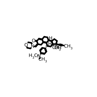 CC#C[C@]1(O)CC[C@H]2[C@@H]3CCC4=CC(=O)C(=CN5CCOCC5)CC4=C3[C@@H](c3ccc(N(C)C)cc3)C[C@@]21C